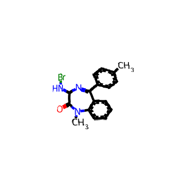 Cc1ccc(C2=NC(NBr)C(=O)N(C)c3ccccc32)cc1